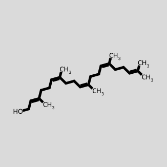 CC(C)=CCCC(C)=CCCC(C)=CCCC(C)=CCC/C(C)=C/CO